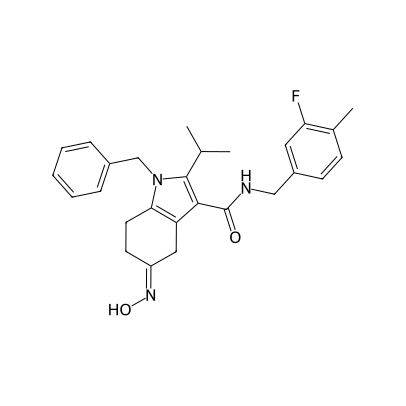 Cc1ccc(CNC(=O)c2c3c(n(Cc4ccccc4)c2C(C)C)CCC(=NO)C3)cc1F